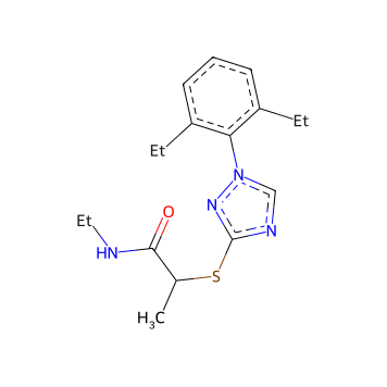 CCNC(=O)C(C)Sc1ncn(-c2c(CC)cccc2CC)n1